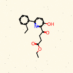 CCOC(=O)CCC(=O)c1nc(-c2ccccc2CC)ccc1O